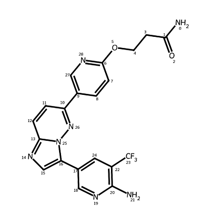 NC(=O)CCOc1ccc(-c2ccc3ncc(-c4cnc(N)c(C(F)(F)F)c4)n3n2)cn1